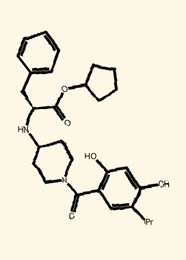 CC(C)c1cc(C(=O)N2CCC(N[C@@H](Cc3ccccc3)C(=O)OC3CCCC3)CC2)c(O)cc1O